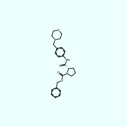 O=C(Nc1ccc(CN2CCOCC2)cc1)[C@@H]1CCCN1C(=O)OCc1ccccc1